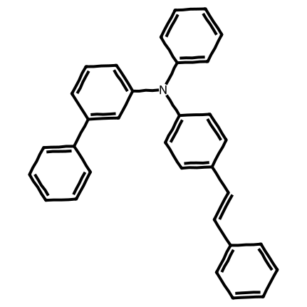 C(=C\c1ccc(N(c2ccccc2)c2cccc(-c3ccccc3)c2)cc1)/c1ccccc1